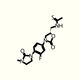 CC(=S)NC[C@H]1CN(c2ccc(N3CCN(C)C3=O)c(F)c2)C(=O)O1